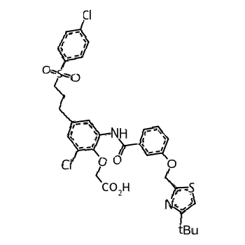 CC(C)(C)c1csc(COc2cccc(C(=O)Nc3cc(CCCS(=O)(=O)c4ccc(Cl)cc4)cc(Cl)c3OCC(=O)O)c2)n1